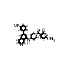 Cc1ccc(C(=O)N2CCC(Nc3cc(-c4cccc(C#N)c4)cc4ccncc34)CC2)c(Cl)n1